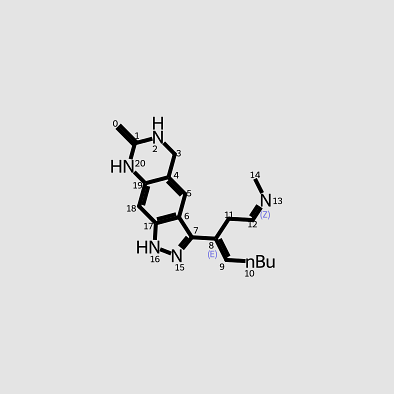 C=C1NCc2cc3c(/C(=C/CCCC)C/C=N\C)n[nH]c3cc2N1